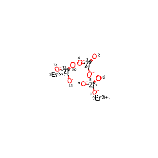 [Er+3].[Er+3].[O]=[Zr]([O-])[O-].[O]=[Zr]([O-])[O-].[O]=[Zr]([O-])[O-]